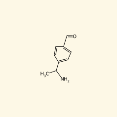 CC(N)c1ccc(C=O)cc1